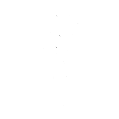 CC[S+]([O-])c1cnc(CNc2nc3cnc(-c4c(O)ncnc4C4CC4)nc3n(C(C)C)c2=O)nc1